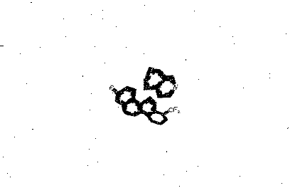 Fc1ccc2c(ccc3c4c(ccc32)C(C(F)(F)F)CCC4)c1.c1ccc2cnccc2c1